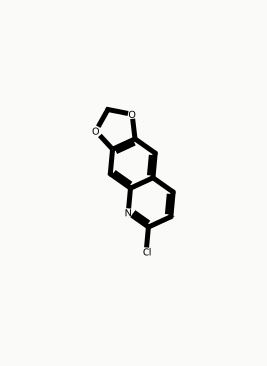 Clc1[c]cc2cc3c(cc2n1)OCO3